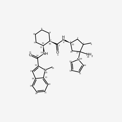 CC1C[C@H](NC(=O)[C@@H]2CCCC[C@@H]2NC(=O)c2cc3ccccc3n2C)CC1(N)n1cccc1